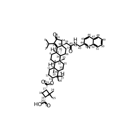 CC(C)C1=C2[C@H]3CC[C@@H]4[C@@]5(C)CC[C@H](OC(=O)[C@H]6C[C@@H](C(=O)O)C6(C)C)C(C)(C)[C@@H]5CC[C@@]4(C)[C@]3(C)CC[C@@]2(CC(=O)NCc2ccc3ccccc3n2)CC1=O